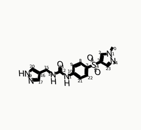 Cn1cc(S(=O)(=O)c2ccc(NC(=O)NCc3cn[nH]c3)cc2)cn1